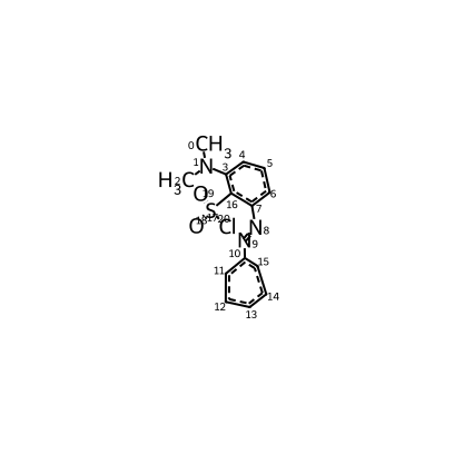 CN(C)c1cccc(N=Nc2ccccc2)c1S(=O)(=O)Cl